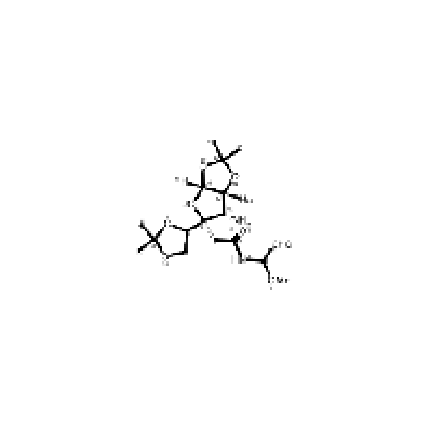 COC(C=O)NC(=O)C[C@]1([C@H]2COC(C)(C)O2)O[C@@H]2OC(C)(C)O[C@@H]2[C@@H]1N